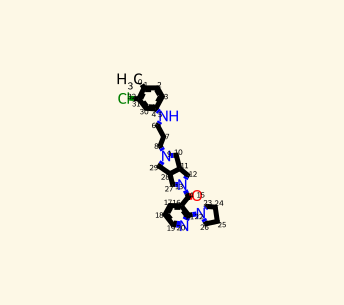 Cc1ccc(NCCCN2CC3CN(C(=O)c4cccnc4N4CCCC4)CC3C2)cc1Cl